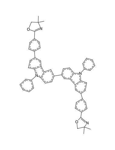 CC1(C)COC(c2ccc(-c3ccc4c(c3)c3cc(-c5ccc6c(c5)c5cc(-c7ccc(C8=NC(C)(C)CO8)cc7)ccc5n6-c5ccccc5)ccc3n4-c3ccccc3)cc2)=N1